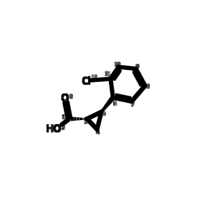 O=C(O)[C@H]1C[C@@H]1c1ccccc1Cl